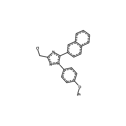 CC(C)Oc1ccc(-n2nc(CCl)nc2-c2ccc3ccccc3c2)cc1